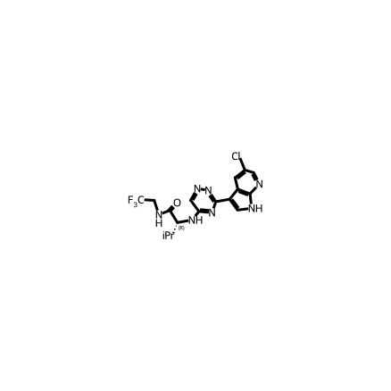 CC(C)[C@@H](Nc1cnnc(-c2c[nH]c3ncc(Cl)cc23)n1)C(=O)NCC(F)(F)F